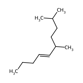 CCCC=CC(C)CCC(C)C